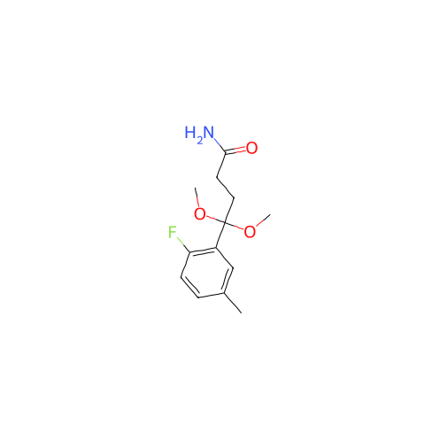 COC(CCC(N)=O)(OC)c1cc(C)ccc1F